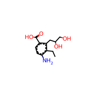 CCc1c(N)ccc(C(=O)O)c1CC(O)CO